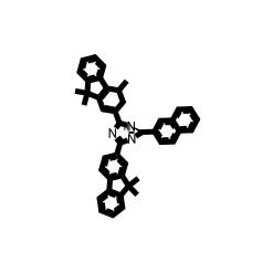 CC1CC(C2N=C(c3ccc4c(c3)C(C)(C)c3ccccc3-4)N3C(c4ccc5ccccc5c4)[N@]23)=CC2=C1c1ccccc1C2(C)C